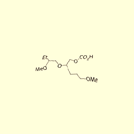 CCC(COC(CCCOC)COC(=O)O)OC